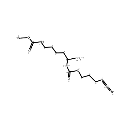 CCCCOC(=O)NCCCCC(NC(=O)OCCCN=[N+]=[N-])C(=O)OCC